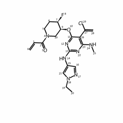 C=CC(=O)N1CC[C@@H](F)[C@@H](Oc2nc(Nc3cnn(CC)c3)nc(NC)c2C(=C)Cl)C1